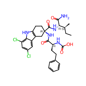 CC[C@H](C)[C@H](NC(=O)[C@@]1(NC(=O)[C@H](CCc2ccccc2)NC(=O)O)CCc2[nH]c3c(Cl)cc(Cl)cc3c2C1)C(N)=O